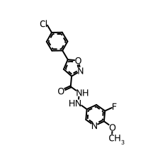 COc1ncc(NNC(=O)c2cc(-c3ccc(Cl)cc3)on2)cc1F